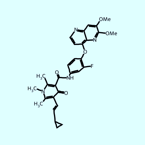 COc1cc2nccc(Oc3ccc(NC(=O)c4c(C)n(C)c(C)c(/C=C/C5CC5)c4=O)cc3F)c2nc1OC